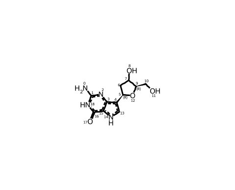 Nc1nc2c([C@H]3CC(O)[C@@H](CO)O3)c[nH]c2c(=O)[nH]1